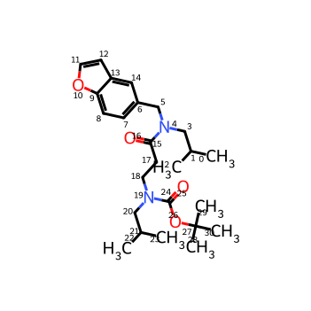 CC(C)CN(Cc1ccc2occc2c1)C(=O)CCN(CC(C)C)C(=O)OC(C)(C)C